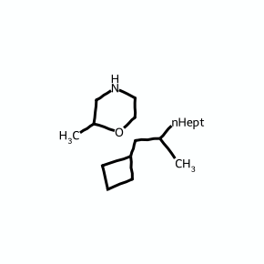 CC1CNCCO1.CCCCCCCC(C)CC1CCC1